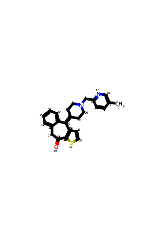 Cc1ccc(CN2CCC(=C3c4ccccc4CC(=O)c4sccc43)CC2)nc1